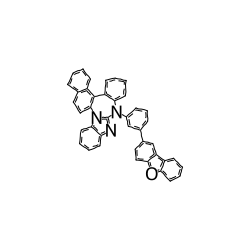 c1cc(-c2ccc3oc4ccccc4c3c2)cc(N2c3ccccc3-c3c(ccc4ccccc34)-n3c2nc2ccccc23)c1